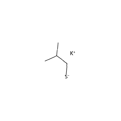 CC(C)C[S-].[K+]